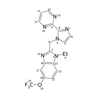 CCn1c(Cn2ccnc2-c2ncccn2)nc2cc(OC(F)(F)F)ccc21